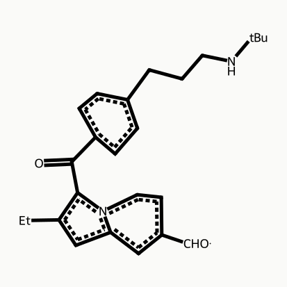 CCc1cc2cc([C]=O)ccn2c1C(=O)c1ccc(CCCNC(C)(C)C)cc1